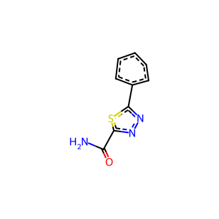 NC(=O)c1nnc(-c2ccccc2)s1